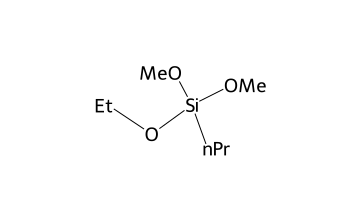 CCC[Si](OC)(OC)OCC